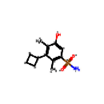 Cc1c(O)cc(S(N)(=O)=O)c(C)c1C1CCC1